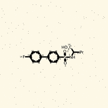 CC(C)C(NS(=O)(=O)c1ccc(-c2ccc(F)cc2)cc1)C(=O)O